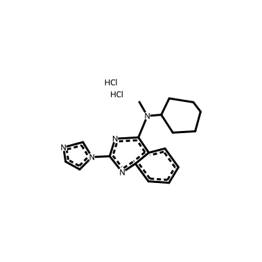 CN(c1nc(-n2ccnc2)nc2ccccc12)C1CCCCC1.Cl.Cl